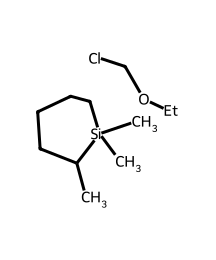 CC1CCCC[Si]1(C)C.CCOCCl